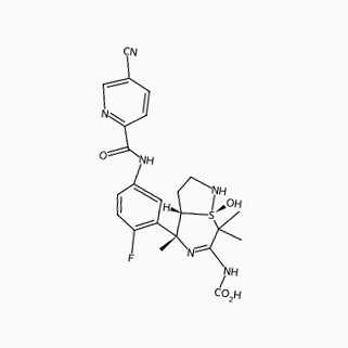 CC1(C)C(NC(=O)O)=N[C@](C)(c2cc(NC(=O)c3ccc(C#N)cn3)ccc2F)[C@@H]2CCN[S@@]21O